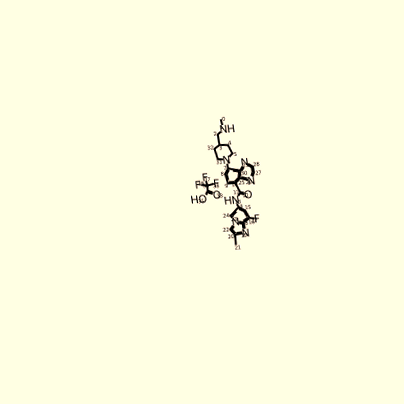 CNCC1CCN(c2ccc(C(=O)Nc3cc(F)c4nc(C)cn4c3)c3nccnc23)CC1.O=C(O)C(F)(F)F